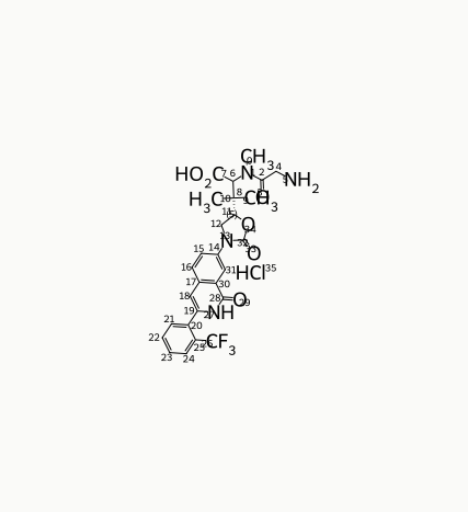 CN(C(=O)CN)C(C(=O)O)C(C)(C)[C@H]1CN(c2ccc3cc(-c4ccccc4C(F)(F)F)[nH]c(=O)c3c2)C(=O)O1.Cl